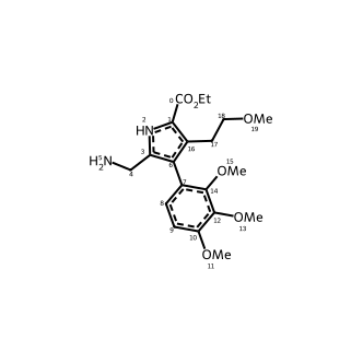 CCOC(=O)c1[nH]c(CN)c(-c2ccc(OC)c(OC)c2OC)c1CCOC